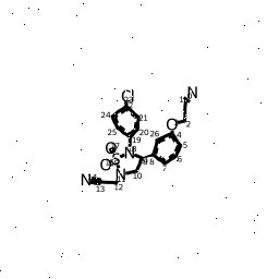 N#CCOc1cccc([C@H]2CN(CC#N)S(=O)(=O)N2c2ccc(Cl)cc2)c1